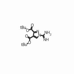 CC(C)(C)OC(=O)c1cn(C(=N)N)nc1C(=O)OC(C)(C)C